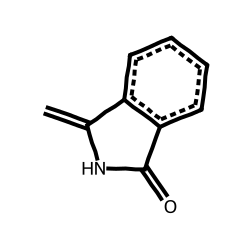 C=C1NC(=O)c2ccccc21